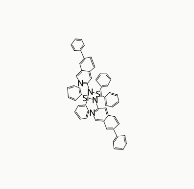 c1ccc(-c2ccc3cc(N4[Si](c5ccccc5)(c5ccccc5)N(c5cc6ccc(-c7ccccc7)cc6cn5)[Si]4(c4ccccc4)c4ccccc4)ncc3c2)cc1